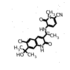 C[C@H](Nc1ccc(C#N)n(C)c1=O)c1cc2cc(Cl)c(C(C)(C)O)cc2[nH]c1=O